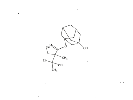 CCC(C)CC(C)(C(=O)OC12CC3CC(CC(O)(C3)C1)C2)C(C)(CC)CC